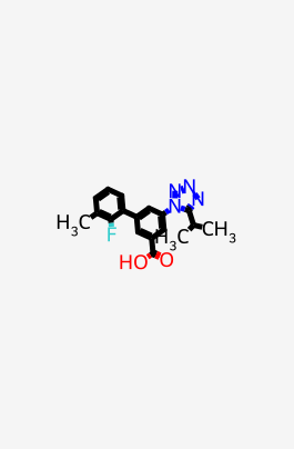 Cc1cccc(-c2cc(C(=O)O)cc(-n3nnnc3C(C)C)c2)c1F